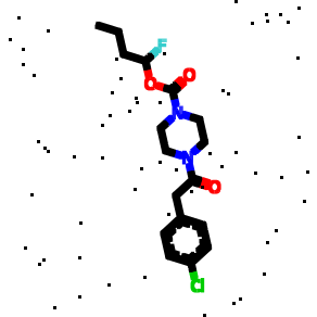 CCCC(F)OC(=O)N1CCN(C(=O)Cc2ccc(Cl)cc2)CC1